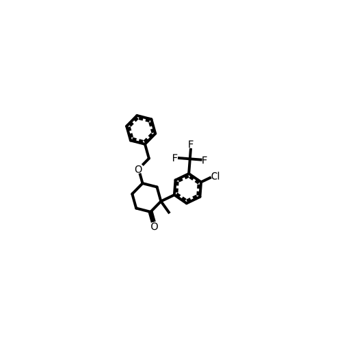 CC1(c2ccc(Cl)c(C(F)(F)F)c2)CC(OCc2ccccc2)CCC1=O